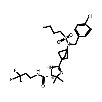 CC1(C)N=C(C23CC(N(Cc4ccc(Cl)cc4)S(=O)(=O)CCCF)(C2)C3)N[C@H]1C(=O)NCCC(F)(F)F